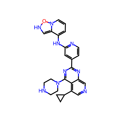 C1=CN2ONC=C2C(Nc2cc(-c3nc(N4CCNCC4)c4c(C5CC5)cncc4n3)ccn2)=C1